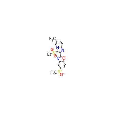 CCS(=O)(=O)c1c(-c2nc3cc([S+]([O-])C(F)(F)F)ccc3o2)nc2ccc(C(F)(F)F)cn12